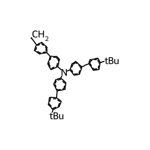 C=Cc1ccc(-c2ccc(N(c3ccc(-c4ccc(C(C)(C)C)cc4)cc3)c3ccc(-c4ccc(C(C)(C)C)cc4)cc3)cc2)cc1